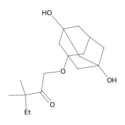 CCC(C)(C)C(=O)COC12CC3CC(O)(CC(O)(C3)C1)C2